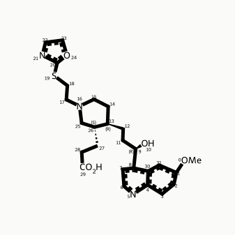 COc1ccc2nccc([C@H](O)CC[C@@H]3CCN(CCSc4ncco4)C[C@H]3CCC(=O)O)c2c1